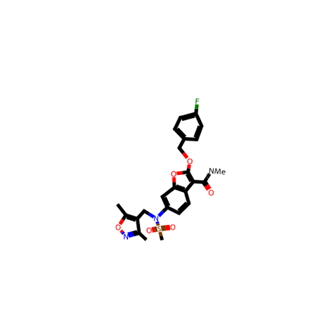 CNC(=O)c1c(OCc2ccc(F)cc2)oc2cc(N(Cc3c(C)noc3C)S(C)(=O)=O)ccc12